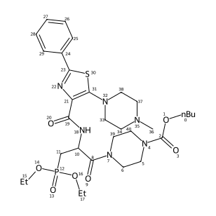 CCCCOC(=O)N1CCN(C(=O)C(CP(=O)(OCC)OCC)NC(=O)c2nc(-c3ccccc3)sc2N2CCN(C)CC2)CC1